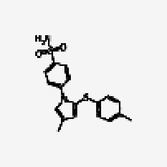 Cc1ccc(Sc2cc(C)cn2-c2ccc(S(N)(=O)=O)cc2)cc1